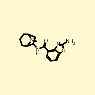 CN1C2CCCC1C(NC(=O)c1cccc3oc(N)nc13)C2